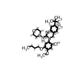 CCCCOc1cc(N(Cc2ccc(C(C)(C)C)cc2)C(=N)NN2CCOCC2)ccc1OC.Cl